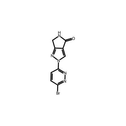 O=C1NCc2nn(-c3ccc(Br)nn3)cc21